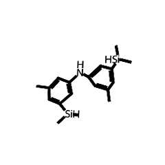 Cc1cc(Nc2cc(C)cc([SiH](C)C)c2)cc([SiH](C)C)c1